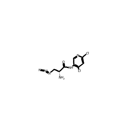 [N-]=[N+]=NC[C@@H](N)C(=O)Nc1cnc(Cl)cc1Cl